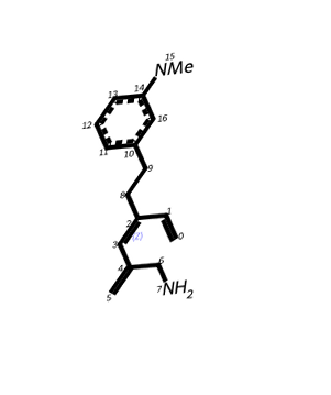 C=C/C(=C\C(=C)CN)CCc1cccc(NC)c1